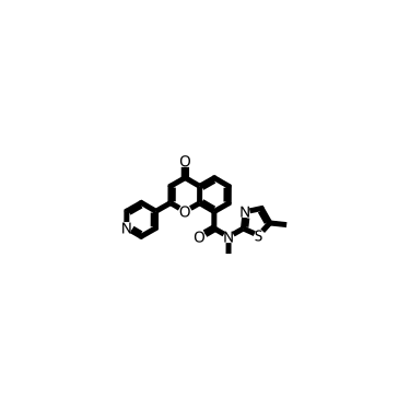 Cc1cnc(N(C)C(=O)c2cccc3c(=O)cc(-c4ccncc4)oc23)s1